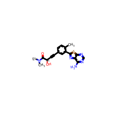 CCN(C)C(=O)[C@H](O)C#Cc1ccc(C)c(-c2nc3c(N)ncnc3s2)c1